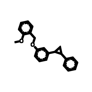 COc1ccccc1COc1cccc(C2CC2c2ccccc2)c1